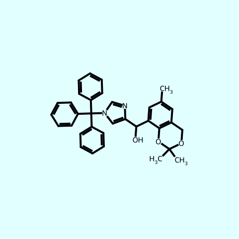 Cc1cc2c(c(C(O)c3cn(C(c4ccccc4)(c4ccccc4)c4ccccc4)cn3)c1)OC(C)(C)OC2